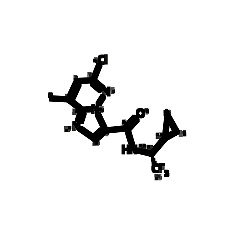 Cc1cc(Cl)nn2c(C(=O)N[C@H](C3CC3)C(F)(F)F)cnc12